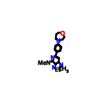 CC/N=C1/C(NC)=NC(c2ccc(N3CCCOCC3)cc2)=C/C1=N/C